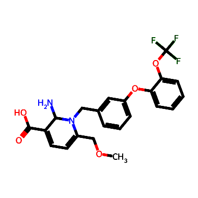 COCC1=CC=C(C(=O)O)C(N)N1Cc1cccc(Oc2ccccc2OC(F)(F)F)c1